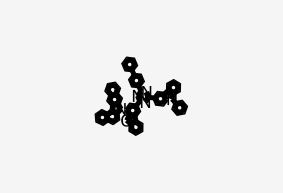 c1ccc(-c2ccc(-c3nc(-c4cc(-n5c6cc7ccccc7cc6c6c7ccccc7ccc65)c5oc6ccccc6c5c4)nc(-c4ccc5c(c4)c4ccccc4n5-c4ccccc4)n3)cc2)cc1